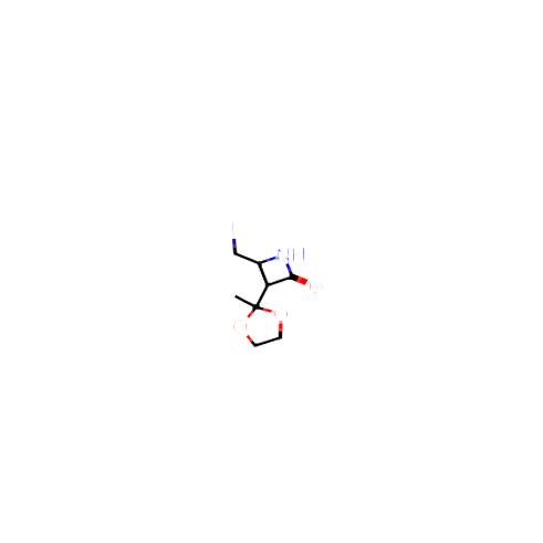 CC1(C2C(=O)NC2CI)OCCO1